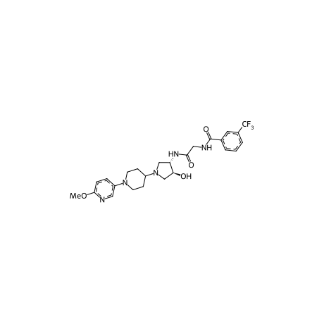 COc1ccc(N2CCC(N3C[C@H](NC(=O)CNC(=O)c4cccc(C(F)(F)F)c4)[C@@H](O)C3)CC2)cn1